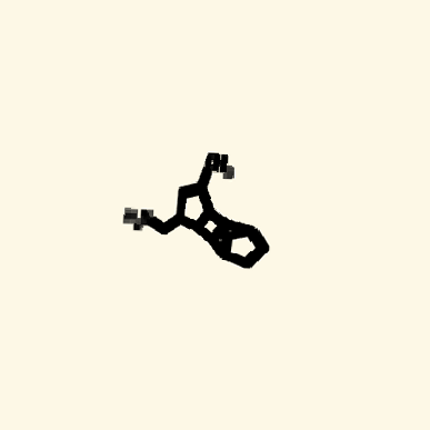 CC1CC(CN)C2C1C1C3CCC(C3)C21